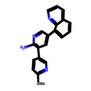 COc1ccc(-c2cc(-c3cccc4cccnc34)cnc2N)cn1